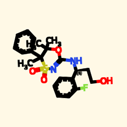 CC1(C)OC(N[C@@H](CCO)c2ccccc2F)=NS(=O)(=O)C1(C)c1ccccc1